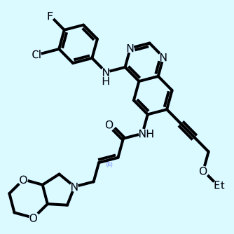 CCOCC#Cc1cc2ncnc(Nc3ccc(F)c(Cl)c3)c2cc1NC(=O)/C=C/CN1CC2OCCOC2C1